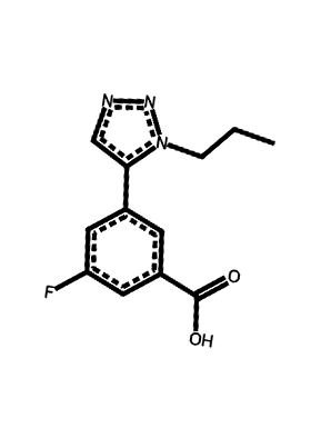 CCCn1nncc1-c1cc(F)cc(C(=O)O)c1